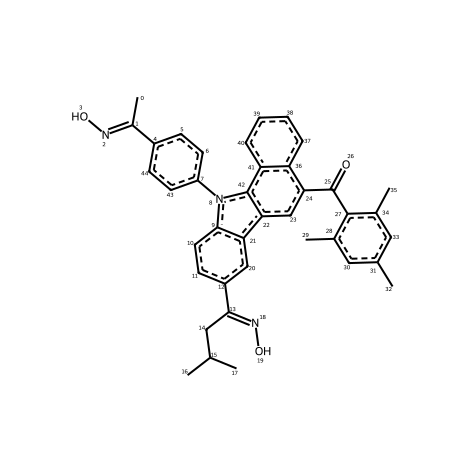 CC(=NO)c1ccc(-n2c3ccc(C(CC(C)C)=NO)cc3c3cc(C(=O)c4c(C)cc(C)cc4C)c4ccccc4c32)cc1